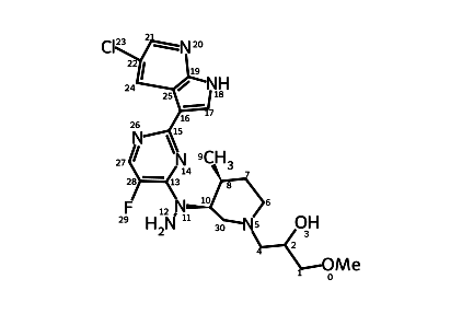 COCC(O)CN1CC[C@H](C)[C@H](N(N)c2nc(-c3c[nH]c4ncc(Cl)cc34)ncc2F)C1